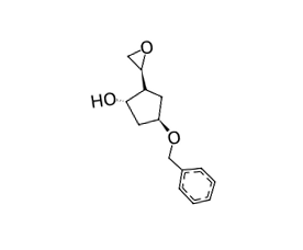 O[C@H]1C[C@H](OCc2ccccc2)CC1[C@H]1CO1